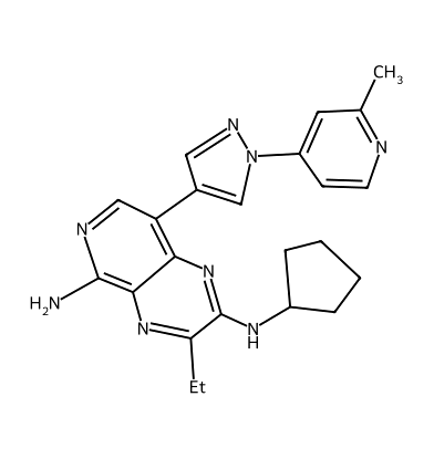 CCc1nc2c(N)ncc(-c3cnn(-c4ccnc(C)c4)c3)c2nc1NC1CCCC1